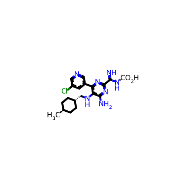 C[C@H]1CC[C@H](CNc2c(N)nc(C(=N)NC(=O)O)nc2-c2cncc(Cl)c2)CC1